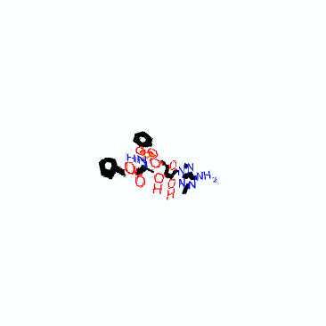 Cc1nc(N)c2ncn([C@@H]3O[C@H](COP(=O)(N[C@@H](C)C(=O)OCc4ccccc4)Oc4ccccc4)C(O)[C@H]3O)c2n1